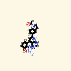 CC(=O)N1CCc2cc(-c3cc(-c4cccc(Br)c4)c4c(N)ncnc4n3)ccc21